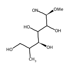 CO[C@H](N=O)C(O)C(O)[C@@H](O)C(C)CO